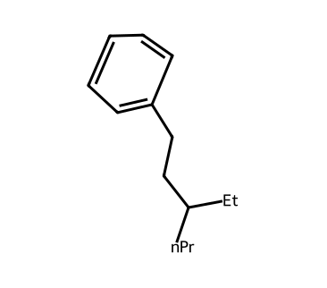 CCCC(CC)CCc1ccccc1